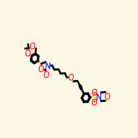 CC1(C)OCc2cc([C@@H]3CN(CCCCCCOCCC#Cc4cccc(S(=O)(=O)N5CCOCC5)c4)C(=O)O3)ccc2O1